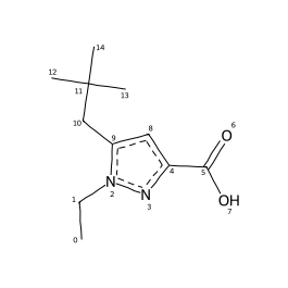 CCn1nc(C(=O)O)cc1CC(C)(C)C